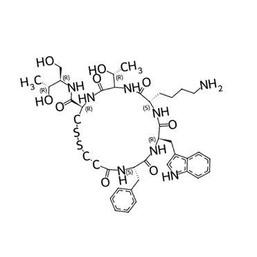 C[C@@H](O)C1NC(=O)[C@H](CCCCN)NC(=O)[C@@H](Cc2c[nH]c3ccccc23)NC(=O)[C@H](Cc2ccccc2)NC(=O)CCSSC[C@@H](C(=O)N[C@H](CO)[C@@H](C)O)NC1=O